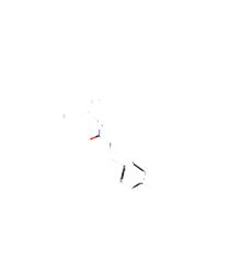 CC(C)[C@@H](C=O)NC(=O)COc1ccc(Cl)cc1